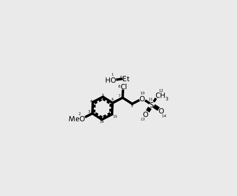 CCO.COc1ccc(C(Cl)COS(C)(=O)=O)cc1